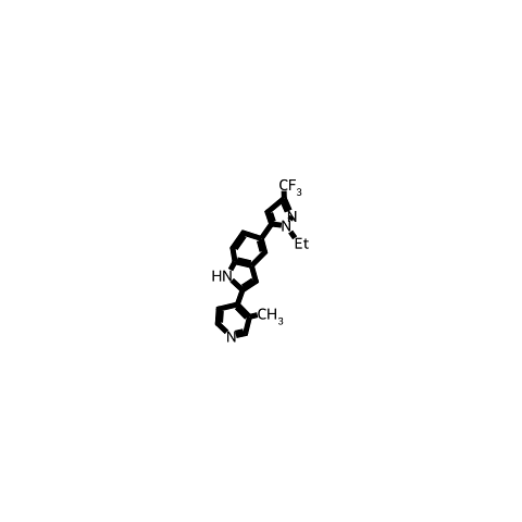 CCn1nc(C(F)(F)F)cc1-c1ccc2[nH]c(-c3ccncc3C)cc2c1